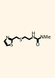 CNC(=O)NCCSCc1nccs1